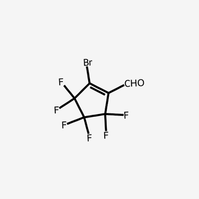 O=CC1=C(Br)C(F)(F)C(F)(F)C1(F)F